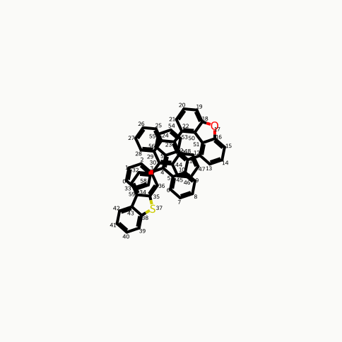 c1ccc(-c2c3ccccc3c(-c3cccc4oc5cccc(-c6c7ccccc7c(-c7ccc8c(c7)sc7ccccc78)c7ccccc67)c5c34)c3ccccc23)cc1